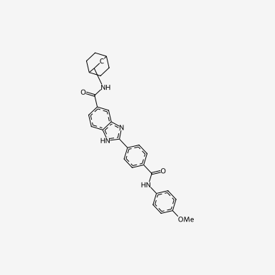 COc1ccc(NC(=O)c2ccc(-c3nc4cc(C(=O)NC5CC6CCC5CC6)ccc4[nH]3)cc2)cc1